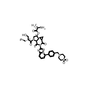 CC(C)C[C@H](CO)C(=O)N1C[C@@H](OC(=O)[C@@H](C)N)CC1C(=S)N(C(=O)C1CC1)c1nc2cccc(-c3ccc(CN4CCS(=O)(=O)CC4)cc3)n2n1